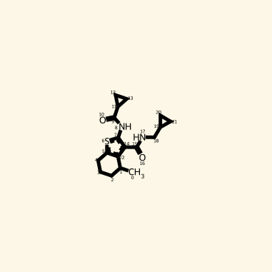 CC1CCCc2sc(NC(=O)C3CC3)c(C(=O)NCC3CC3)c21